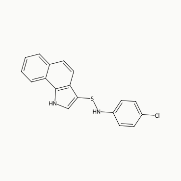 Clc1ccc(NSc2c[nH]c3c2ccc2ccccc23)cc1